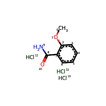 COc1ccccc1C(N)=O.Cl.Cl.Cl